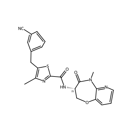 Cc1nc(C(=O)N[C@H]2COc3cccnc3N(C)C2=O)sc1Cc1cccc(C#N)c1